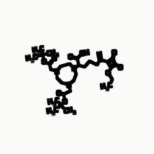 CCOc1c(NCCCC(C(=O)O)N2CCN(CC(=O)OC(C)(C)C)CCN(CC(=O)OC(C)(C)C)CC2)c(=O)c1=O